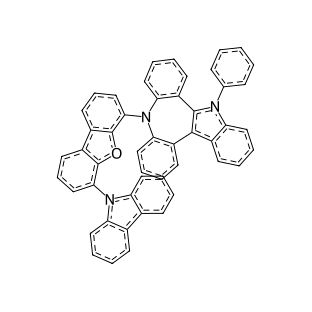 c1ccc(-n2c3c(c4ccccc42)-c2ccccc2N(c2cccc4c2oc2c(-n5c6ccccc6c6ccccc65)cccc24)c2ccccc2-3)cc1